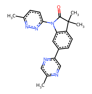 Cc1cnc(-c2ccc3c(c2)N(c2ccc(C)nn2)C(=O)C3(C)C)cn1